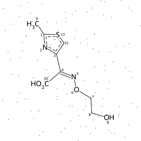 Cc1nc(/C(=N/OCCO)C(=O)O)cs1